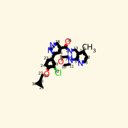 Cc1ccnc(N2CCOCC2)c1CNC(=O)c1cnnc(-c2ccc(OCC3CC3)c(Cl)c2)c1